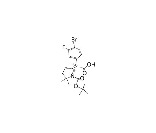 CC(C)(C)OC(=O)N1[C@H]([C@@H](C(=O)O)c2ccc(Br)c(F)c2)CCC1(C)C